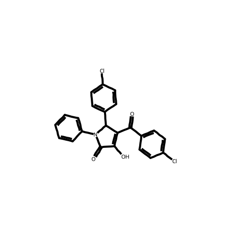 O=C(C1=C(O)C(=O)N(c2ccccc2)C1c1ccc(Cl)cc1)c1ccc(Cl)cc1